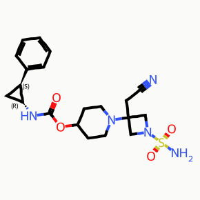 N#CCC1(N2CCC(OC(=O)N[C@@H]3C[C@H]3c3ccccc3)CC2)CN(S(N)(=O)=O)C1